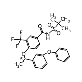 C[C@@H](Oc1ccc(C(=O)NS(=O)(=O)C(C)(C)C)cc1C(F)(F)F)c1cccc(Oc2ccccc2)c1